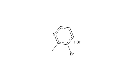 Br.Cc1ncccc1Br